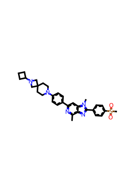 Cc1nc(-c2ccc(N3CCC4(CC3)CN(C3CCC3)C4)cc2)cc2c1nc(-c1ccc(S(C)(=O)=O)cc1)n2C